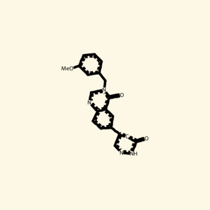 COc1cccc(Cn2cnc3ccc(-c4cn[nH]c(=O)c4)cc3c2=O)c1